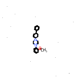 COc1ccccc1N1CCN(C2CCC(c3ccccc3)CC2)CC1